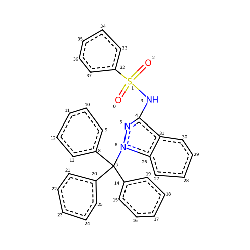 O=S(=O)(Nc1nn(C(c2ccccc2)(c2ccccc2)c2ccccc2)c2ccccc12)c1ccccc1